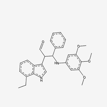 CCc1cccc2c(C(C=O)C(Nc3cc(OC)c(OC)c(OC)c3)c3ccccc3)c[nH]c12